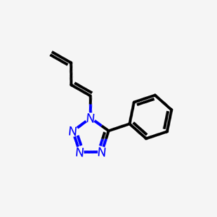 C=CC=Cn1nnnc1-c1ccccc1